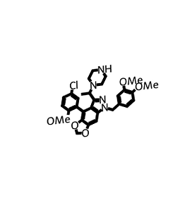 COc1ccc(Cn2nc(C(C)N3CCNCC3)c3c(-c4cc(Cl)ccc4OC)c4c(cc32)OCO4)cc1OC